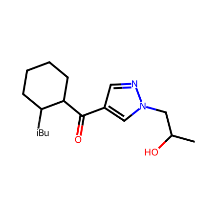 CCC(C)C1CCCCC1C(=O)c1cnn(CC(C)O)c1